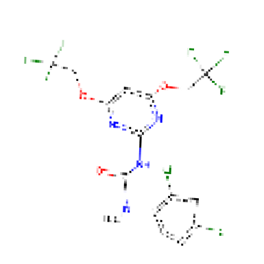 CN(C(=O)Nc1nc(OCC(F)(F)F)cc(OCC(F)(F)F)n1)c1ccc(Cl)cc1Cl